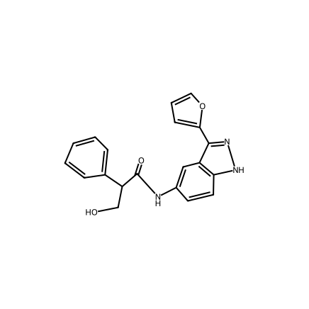 O=C(Nc1ccc2[nH]nc(-c3ccco3)c2c1)C(CO)c1ccccc1